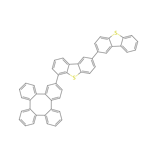 c1ccc2c(c1)-c1ccccc1-c1ccc(-c3cccc4c3sc3ccc(-c5ccc6sc7ccccc7c6c5)cc34)cc1-c1ccccc1-2